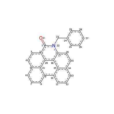 O=c1c2ccc3cccc4c5cccc6ccc(c(c65)c2c34)n1Cc1ccccc1